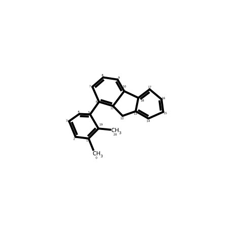 Cc1cccc(-c2cccc3c2Cc2ccccc2-3)c1C